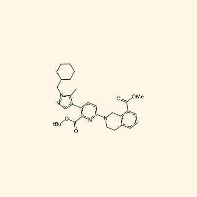 COC(=O)c1cccc2c1CN(c1ccc(-c3cnn(CC4CCCCC4)c3C)c(C(=O)OC(C)(C)C)n1)CC2